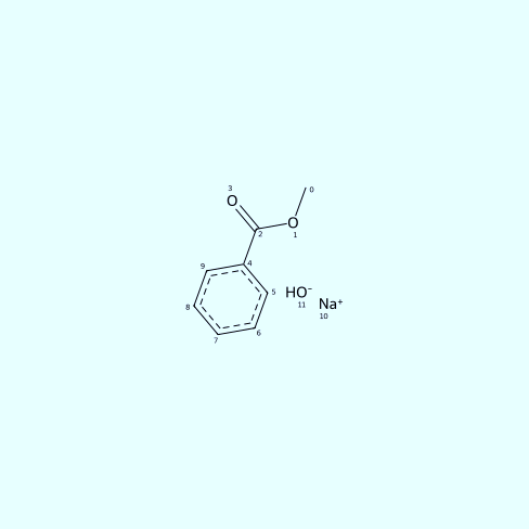 COC(=O)c1ccccc1.[Na+].[OH-]